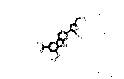 CCc1cc(-c2ncc3c(n2)[nH]c2c(OC)cc(C(=O)O)cc23)n(C)n1